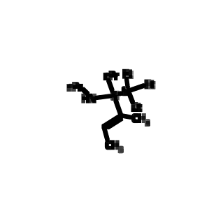 C/C=C(\C)[Si](CCC)(NCCC)[Si](CC)(CC)CC